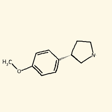 COc1ccc([C@@H]2CC[N]C2)cc1